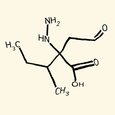 CCC(C)C(CC=O)(NN)C(=O)O